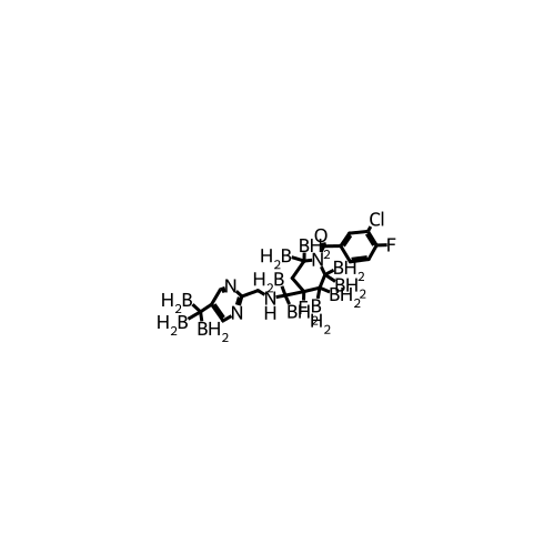 BC(B)(B)c1cnc(CNC(B)(B)C2(F)CC(B)(B)N(C(=O)c3ccc(F)c(Cl)c3)C(B)(B)C2(B)B)nc1